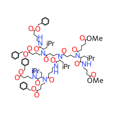 COC(=O)CCCNC(=O)C(CC(C)C)N(CCCC(=O)N(CCCC(=O)N(CCCC(=O)OCc1ccccc1)C(CC(C)C)C(=O)NCCCC(=O)OCc1ccccc1)C(CC(C)C)C(=O)NCCCC(=O)N(CCCC(=O)OCc1ccccc1)C(CC(C)C)C(=O)NCCCC(=O)OCc1ccccc1)C(=O)CCCC(=O)OC